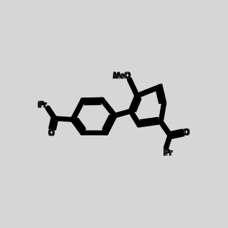 COc1ccc(C(=O)C(C)C)cc1-c1ccc(C(=O)C(C)C)cc1